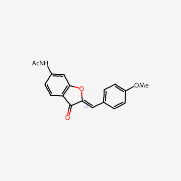 COc1ccc(/C=C2\Oc3cc(NC(C)=O)ccc3C2=O)cc1